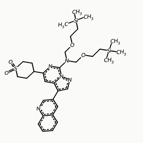 C[Si](C)(C)CCOCN(COCC[Si](C)(C)C)c1nc(C2CCS(=O)(=O)CC2)cc2c(-c3cnc4ccccc4c3)cnn12